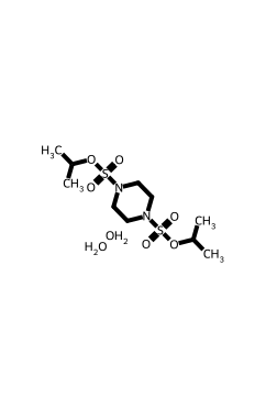 CC(C)OS(=O)(=O)N1CCN(S(=O)(=O)OC(C)C)CC1.O.O